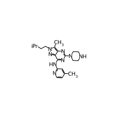 Cc1ccnc(Nc2nc(N3CCNCC3)nc3c(C)n(CCC(C)C)nc23)c1